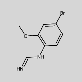 COc1cc(Br)ccc1NC=N